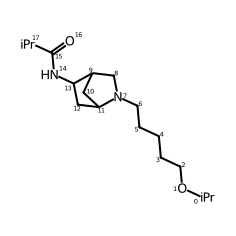 CC(C)OCCCCCN1CC2CC1CC2NC(=O)C(C)C